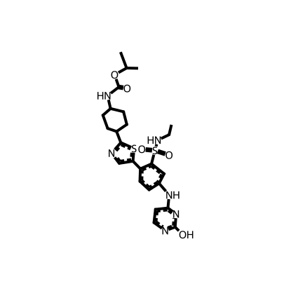 CCNS(=O)(=O)c1cc(Nc2ccnc(O)n2)ccc1-c1cnc(C2CCC(NC(=O)OC(C)C)CC2)s1